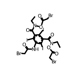 CCN(OC(=O)CBr)C(=O)c1c(I)c(NC(=O)CBr)c(I)c(C(=O)N(CC)OC(=O)CBr)c1I